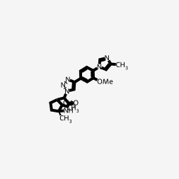 COc1cc(-c2cn(C3C(=O)N[C@]4(C)CCC3C4(C)C)nn2)ccc1-n1cnc(C)c1